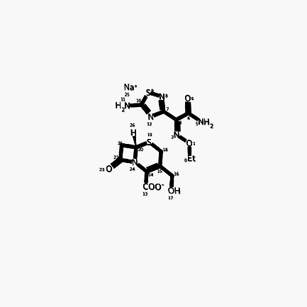 CCO/N=C(\C(N)=O)c1nsc(N)n1.O=C([O-])C1=C(CO)CS[C@H]2CC(=O)N12.[Na+]